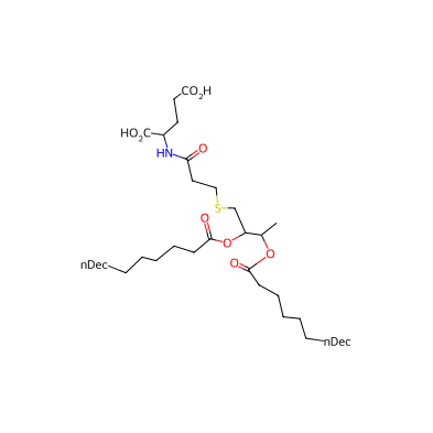 CCCCCCCCCCCCCCCC(=O)OC(C)C(CSCCC(=O)NC(CCC(=O)O)C(=O)O)OC(=O)CCCCCCCCCCCCCCC